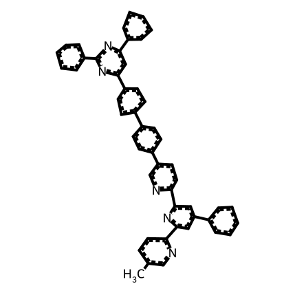 Cc1ccc(-c2cc(-c3ccccc3)cc(-c3ccc(-c4ccc(-c5ccc(-c6cc(-c7ccccc7)nc(-c7ccccc7)n6)cc5)cc4)cn3)n2)nc1